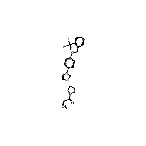 C=CC(=O)N1CC[C@@H](N2C=CN(c3ccc(OCc4ccccc4C(F)(F)F)cc3)C2)C1